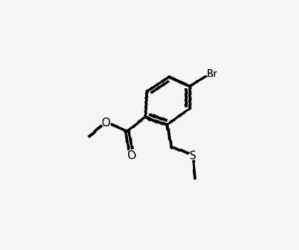 COC(=O)c1ccc(Br)cc1CSC